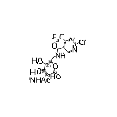 CC(=O)N[C@@H]1[C@@H](O)[C@@H](O)[C@@H](CNC(=O)c2cnc(Cl)nc2C(F)(F)F)O[C@H]1O